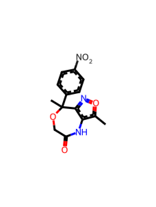 Cc1onc2c1NC(=O)COC2(C)c1ccc([N+](=O)[O-])cc1